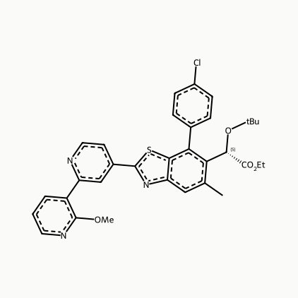 CCOC(=O)[C@@H](OC(C)(C)C)c1c(C)cc2nc(-c3ccnc(-c4cccnc4OC)c3)sc2c1-c1ccc(Cl)cc1